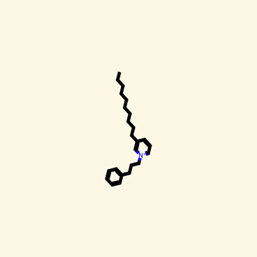 CCCCCCCCCCc1ccc[n+](CCCc2ccccc2)c1